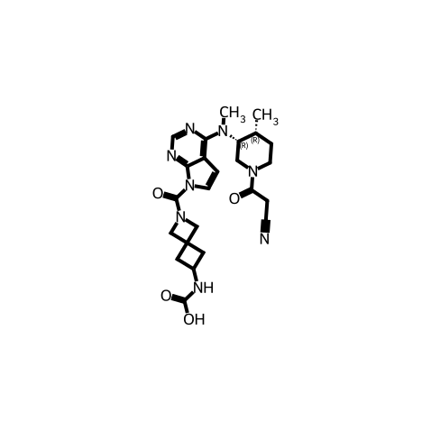 C[C@@H]1CCN(C(=O)CC#N)C[C@@H]1N(C)c1ncnc2c1ccn2C(=O)N1CC2(CC(NC(=O)O)C2)C1